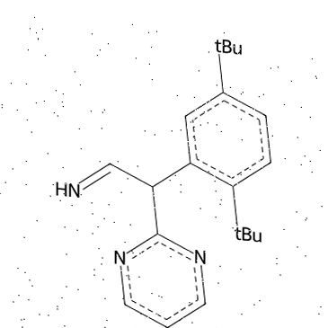 CC(C)(C)c1ccc(C(C)(C)C)c(C(C=N)c2ncccn2)c1